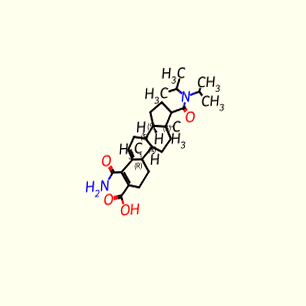 CC(C)N(C(=O)C1CC[C@H]2[C@@H]3CC=C4C(C(N)=O)=C(C(=O)O)CC[C@]4(C)[C@@H]3CC[C@]12C)C(C)C